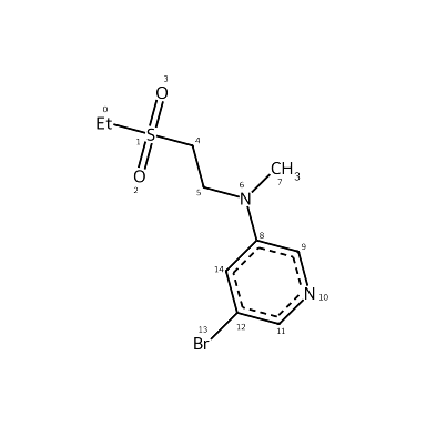 CCS(=O)(=O)CCN(C)c1cncc(Br)c1